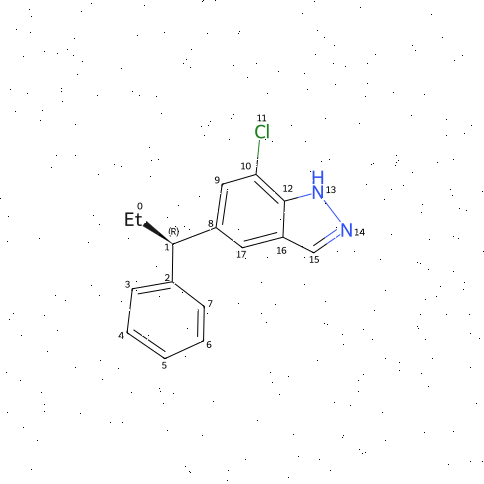 [CH2]C[C@H](c1ccccc1)c1cc(Cl)c2[nH]ncc2c1